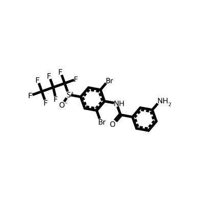 Nc1cccc(C(=O)Nc2c(Br)cc([S+]([O-])C(F)(F)C(F)(F)C(F)(F)F)cc2Br)c1